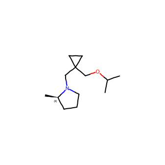 CC(C)OCC1(CN2CCC[C@H]2C)CC1